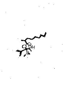 CCCCCCCC(C)C(=O)OC(C(C)C)(C(C)O)N(C)C